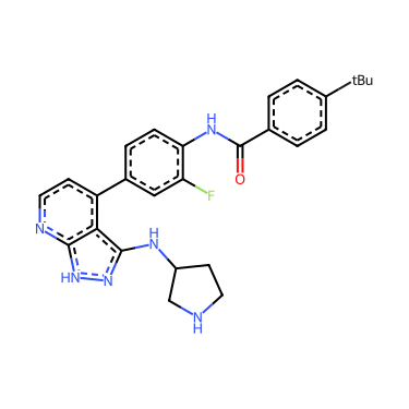 CC(C)(C)c1ccc(C(=O)Nc2ccc(-c3ccnc4[nH]nc(NC5CCNC5)c34)cc2F)cc1